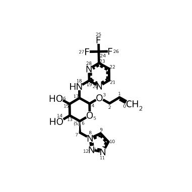 C=CCOC1O[C@@H](Cn2ccnn2)C(O)C(O)C1Nc1nccc(C(F)(F)F)n1